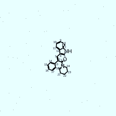 O=C(C(=Cc1c[nH]c2ncccc12)c1ccccc1)N1CCCCC1